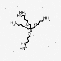 N=NNCCCOCC(COCCCN)(COCCCN)COCCCNN